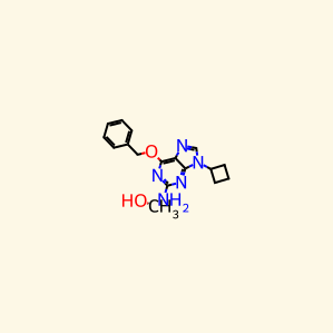 CO.Nc1nc(OCc2ccccc2)c2ncn(C3CCC3)c2n1